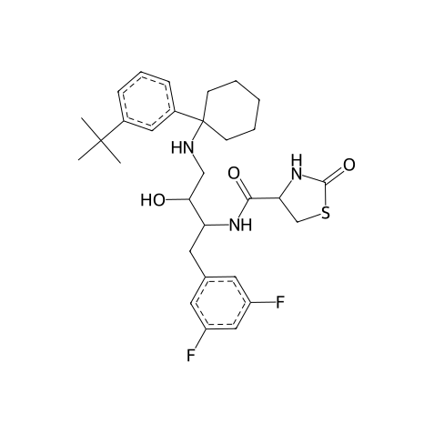 CC(C)(C)c1cccc(C2(NCC(O)C(Cc3cc(F)cc(F)c3)NC(=O)C3CSC(=O)N3)CCCCC2)c1